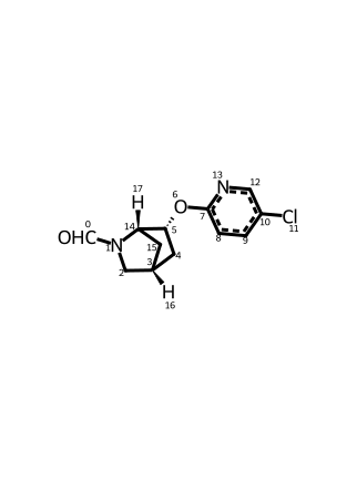 O=CN1C[C@H]2C[C@@H](Oc3ccc(Cl)cn3)[C@@H]1C2